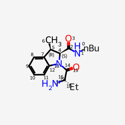 CCCCNC(=O)[C@@H]1[C@H](C)c2ccccc2N1C(=O)[C@@H](N)CC